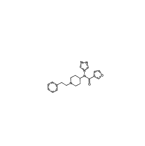 O=C(c1ccoc1)N(C1CCN(CCc2ccccc2)CC1)n1cnnc1